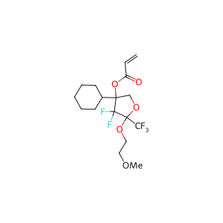 C=CC(=O)OC1(C2CCCCC2)COC(OCCOC)(C(F)(F)F)C1(F)F